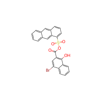 O=C(OS(=O)(=O)c1cccc2cc3ccccc3cc12)c1cc(Br)c2ccccc2c1O